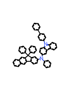 c1ccc(-c2ccc(-n3c4ccccc4c4cc(N(c5ccccc5)c5ccc6c(c5)C(c5ccccc5)(c5ccccc5)c5cc7ccccc7cc5-6)ccc43)cc2)cc1